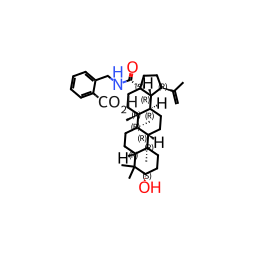 C=C(C)[C@@H]1CC[C@]2(C(=O)NCc3ccccc3C(=O)O)CC[C@]3(C)[C@H](CC[C@@H]4[C@@]5(C)CC[C@H](O)C(C)(C)[C@@H]5CC[C@]43C)[C@@H]12